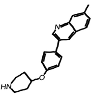 Cc1ccc2cc(-c3ccc(OC4CCNCC4)cc3)cnc2c1